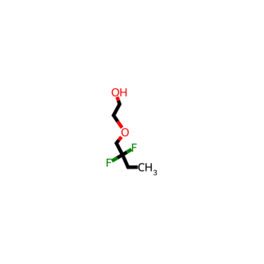 CCC(F)(F)COCCO